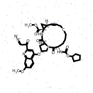 COC(=O)[C@@]12C[C@H]1/C=C\CCCCC[C@H](NC(=O)OC1CCCC1)C(=O)N1C[C@H](Oc3cc(C(=O)C=[N+]=[N-])nc4cc(OC)ccc34)C[C@H]1C(=O)N2